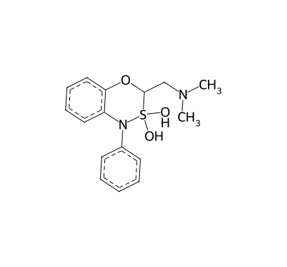 CN(C)CC1Oc2ccccc2N(c2ccccc2)S1(O)O